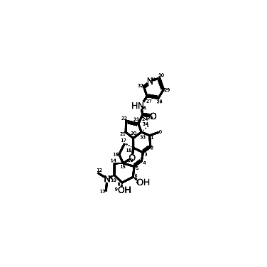 CC1C=C2C=C3[C@@H](O)[C@H](O)[C@@H](N(C)C)C[C@]34CC[C@]2(O4)C2CC=C(C(=O)Nc3cccnc3)[C@@]12C